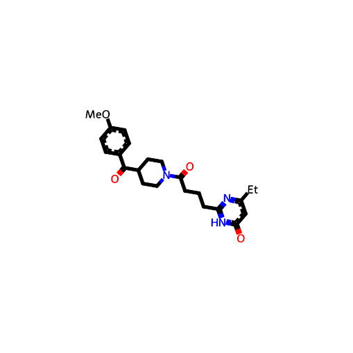 CCc1cc(=O)[nH]c(CCCC(=O)N2CCC(C(=O)c3ccc(OC)cc3)CC2)n1